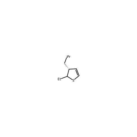 CCC1SC=C[C@H]1CC(C)C